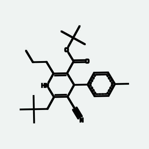 CCCC1=C(C(=O)OC(C)(C)C)C(c2ccc(C)cc2)C(C#N)=C(CC(C)(C)C)N1